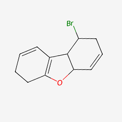 BrC1CC=CC2OC3=C(C=CCC3)C12